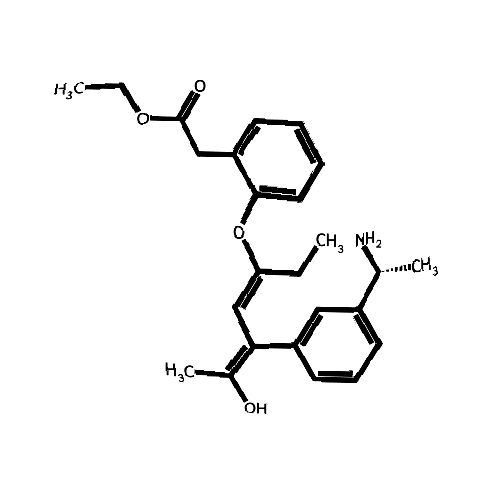 CCOC(=O)Cc1ccccc1O/C(=C/C(=C(\C)O)c1cccc([C@@H](C)N)c1)CC